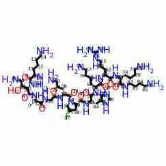 C[C@H](NC(=O)[C@@H](NC(=O)[C@@H](N)CCCCN)[C@@H](O)CN)C(=O)NCC(=O)N[C@H](CCCN)C(=O)N1C[C@H](F)C[C@H]1C(=O)N[C@@H](Cc1cnc[nH]1)C(=O)N[C@@H](CCCCN)C(=O)N/C(=C\CCNC(=N)N)C(=O)N[C@@H](CCCCN)C(=O)NCCCCN